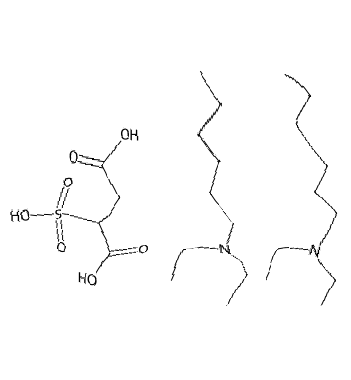 CCCCCCN(CC)CC.CCCCCCN(CC)CC.O=C(O)CC(C(=O)O)S(=O)(=O)O